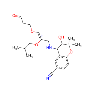 CC(C)CO/C(=C\OCCC=O)CNC1c2cc(C#N)ccc2OC(C)(C)C1O